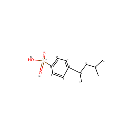 CC(C)CC(C)c1ccc(S(=O)(=O)O)cc1